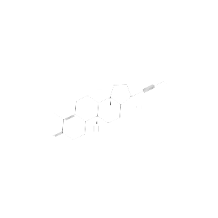 CC1=C2CC[C@@H]3[C@H](CC[C@@]4(C)[C@H]3CC[C@@]4(O)C#CCl)[C@@]2(C)CCC1=O